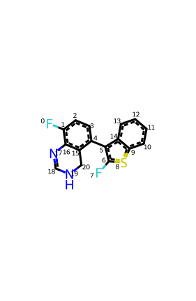 Fc1ccc(-c2c(F)sc3ccccc23)c2c1N=CNC2